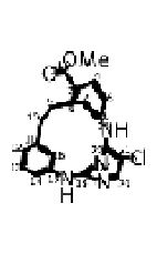 COC(=O)c1ccc2cc1CCc1cccc(c1)Nc1ncc(Cl)c(n1)N2